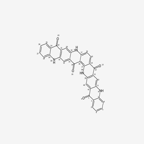 O=c1c2ccccc2[nH]c2cc3c(=O)c4ccc5[nH]c6cc7c(=O)c8ccccc8[nH]c7cc6c(=O)c5c4[nH]c3cc12